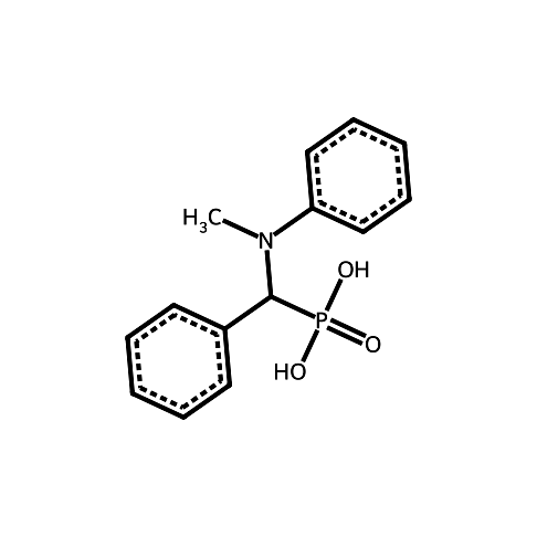 CN(c1ccccc1)C(c1ccccc1)P(=O)(O)O